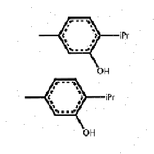 Cc1ccc(C(C)C)c(O)c1.Cc1ccc(C(C)C)c(O)c1